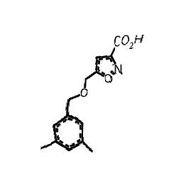 Cc1cc(C)cc(COCc2cc(C(=O)O)no2)c1